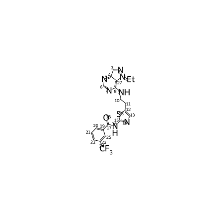 CCn1ncc2ncnc(NCCc3cnc(NC(=O)c4cccc(C(F)(F)F)c4)s3)c21